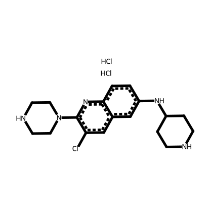 Cl.Cl.Clc1cc2cc(NC3CCNCC3)ccc2nc1N1CCNCC1